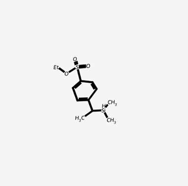 CCOS(=O)(=O)c1ccc(C(C)[SiH](C)C)cc1